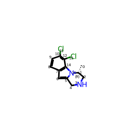 C[C@@H]1CNCc2cc3ccc(Cl)c(Cl)c3n21